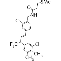 CSCCC(=O)NCc1ccc(/C=C/C(c2cc(C)c(C)c(Cl)c2)C(F)(F)F)cc1Cl